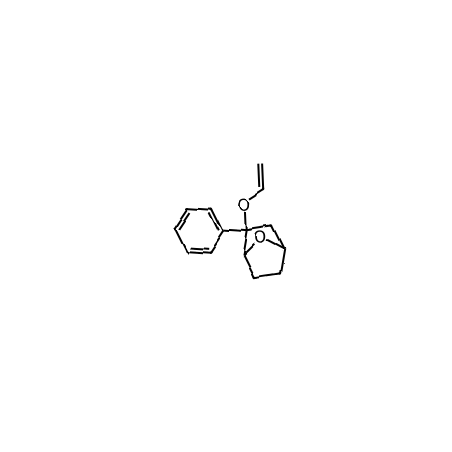 C=COC1(c2ccccc2)CC2CCC1O2